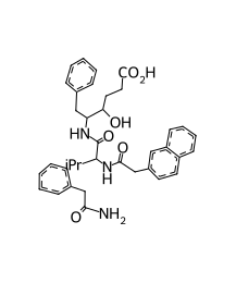 CC(C)C(NC(=O)Cc1ccc2ccccc2c1)C(=O)NC(Cc1ccccc1)C(O)CCC(=O)O.NC(=O)Cc1ccccc1